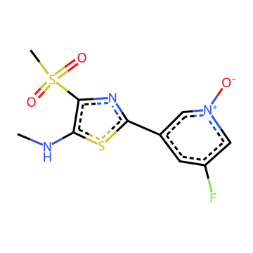 CNc1sc(-c2cc(F)c[n+]([O-])c2)nc1S(C)(=O)=O